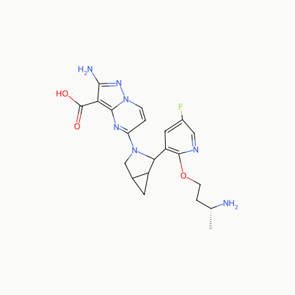 C[C@@H](N)CCOc1ncc(F)cc1C1C2CC2CN1c1ccn2nc(N)c(C(=O)O)c2n1